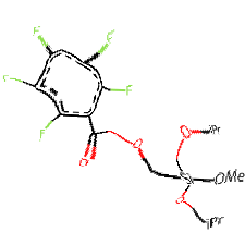 CO[Si](COC(=O)c1c(F)c(F)c(F)c(F)c1F)(OC(C)C)OC(C)C